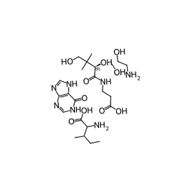 CC(C)(CO)[C@@H](O)C(=O)NCCC(=O)O.CCC(C)C(N)C(=O)O.CO.NCCO.O=c1[nH]cnc2nc[nH]c12